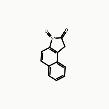 O=C1Cc2c(ccc3ccccc23)[N+]1=O